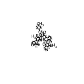 Cc1ccc(CCOC(=O)C(Cc2ccc(-n3c(=O)c4ccncc4n(C)c3=O)c3ncccc23)NC(=O)c2c(C)cc(N3CCOC[C@@H]3C(F)(F)F)cc2F)cn1